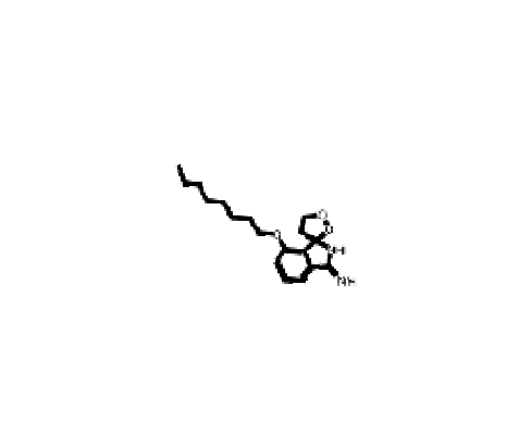 CCCCCCCCOc1cccc2c1C1(CCOO1)NC2=N